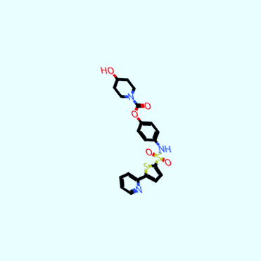 O=C(Oc1ccc(NS(=O)(=O)c2ccc(-c3ccccn3)s2)cc1)N1CCC(O)CC1